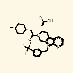 C[C@H]1CC[C@@H](CC(=O)N2CCc3c(n(Cc4ccc(C(F)(F)F)s4)c4ncccc34)C2)CC1.O=C(O)O